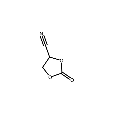 N#CC1COC(=O)O1